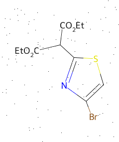 CCOC(=O)C(C(=O)OCC)c1nc(Br)cs1